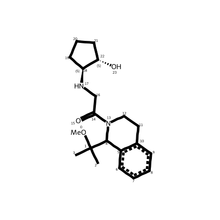 COC(C)(C)C1c2ccccc2CCN1C(=O)CN[C@H]1CCC[C@@H]1O